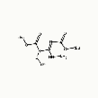 CCCON(C(=O)OC(C)(C)C)C(=NC(=O)OC(C)(C)C)NN